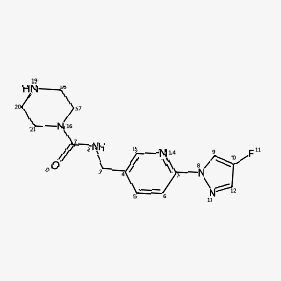 O=C(NCc1ccc(-n2cc(F)cn2)nc1)N1CCNCC1